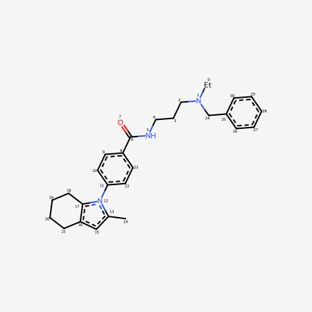 CCN(CCCNC(=O)c1ccc(-n2c(C)cc3c2CCCC3)cc1)Cc1ccccc1